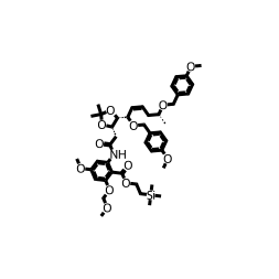 COCOc1cc(OC)cc(NC(=O)C[C@@H]2OC(C)(C)O[C@@H]2C(/C=C\C[C@@H](C)OCc2ccc(OC)cc2)OCc2ccc(OC)cc2)c1C(=O)OCC[Si](C)(C)C